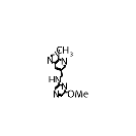 COc1cncc(NCc2cnc3c(c2)ncn3C)n1